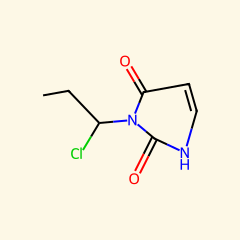 CCC(Cl)n1c(=O)cc[nH]c1=O